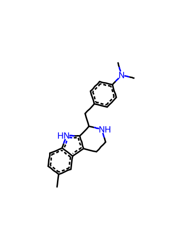 Cc1ccc2[nH]c3c(c2c1)CCNC3Cc1ccc(N(C)C)cc1